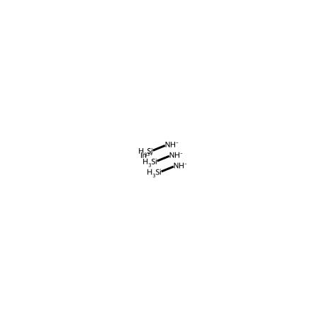 [In+3].[NH-][SiH3].[NH-][SiH3].[NH-][SiH3]